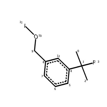 CC(C)(F)c1cccc(COI)c1